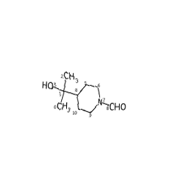 CC(C)(O)C1CCN(C=O)CC1